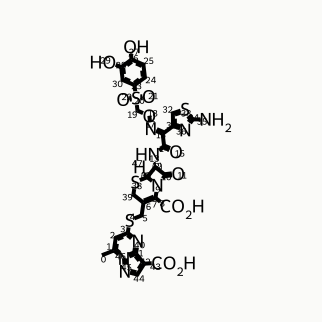 Cc1cc(SCC2=C(C(=O)O)N3C(=O)[C@@H](NC(=O)C(=NOCS(=O)(=O)c4ccc(O)c(O)c4)c4csc(N)n4)[C@H]3SC2)nc2c(C(=O)O)cnn12